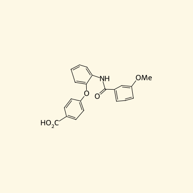 COc1cccc(C(=O)Nc2ccccc2Oc2ccc(C(=O)O)cc2)c1